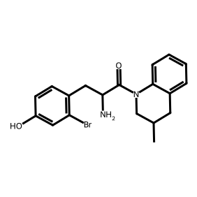 CC1Cc2ccccc2N(C(=O)C(N)Cc2ccc(O)cc2Br)C1